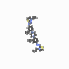 CC[n+]1ccsc1/N=N/c1ccc(N2CCN(c3ccc(/N=N/c4scc[n+]4CC)cc3C)CC2)c(C)c1